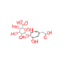 O=C(O)Cc1cc(O)c(OC2OC(C(=O)O)C(O)C(O)C2O)c(O)c1